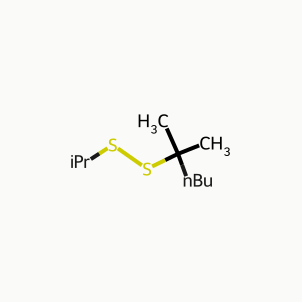 CCCCC(C)(C)SSC(C)C